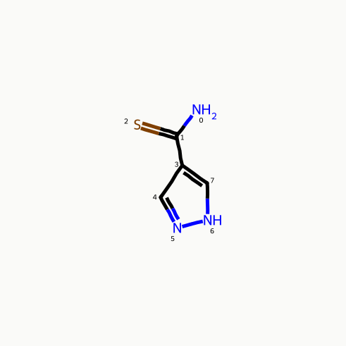 NC(=S)c1cn[nH]c1